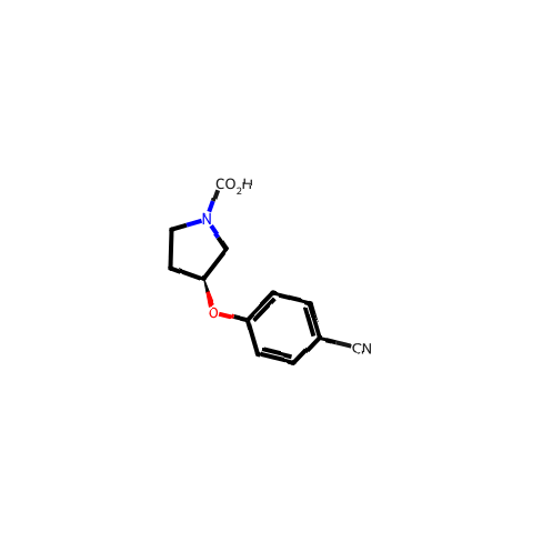 N#Cc1ccc(O[C@H]2CCN(C(=O)O)C2)cc1